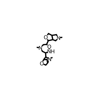 CN1CC(C2C3CC(CO3)N2C)NOC(C2OCC3CN(C)CC32)C1